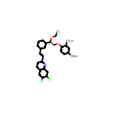 COc1ccc(OC[C@H](OCC(F)(F)F)c2cccc(/C=C/c3ccc4cc(F)c(Cl)cc4n3)c2)c(C(=O)O)c1